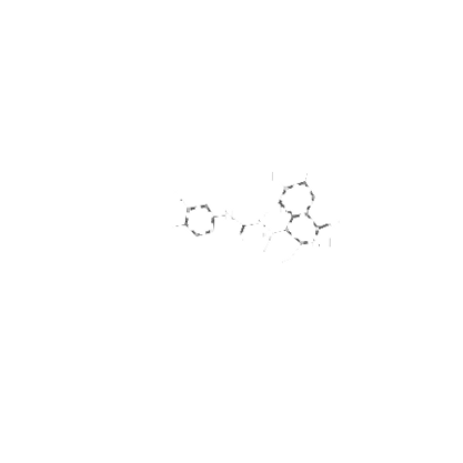 CN(C(=O)Nc1ccc(F)c(Cl)c1)[C@H]1CSCc2[nH]c(=O)c3cc(F)c(F)cc3c21